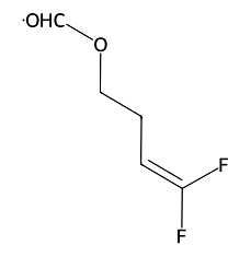 O=[C]OCCC=C(F)F